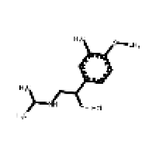 CSc1ccc(C(O)CNC(C)C)cc1C.Cl